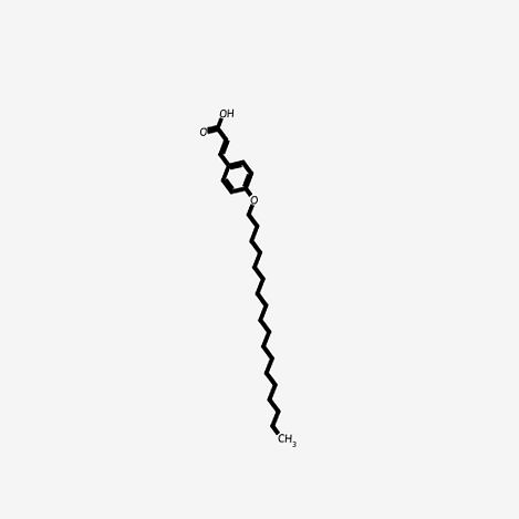 CCCCCCCCCCCCCCCCCCOc1ccc(C=CC(=O)O)cc1